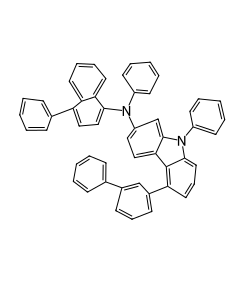 c1ccc(-c2cccc(-c3cccc4c3c3ccc(N(c5ccccc5)c5ccc(-c6ccccc6)c6ccccc56)cc3n4-c3ccccc3)c2)cc1